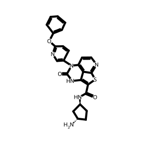 N[C@H]1CC[C@H](NC(=O)c2sc3nccc4c3c2NC(=O)N4c2ccc(Oc3ccccc3)nc2)C1